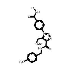 CCNC(=O)c1ccc(-n2nnc(C(=O)NCc3ccc(C(F)(F)F)cc3)c2CSC)cc1